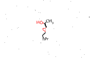 CCCCCOC=C(C)O